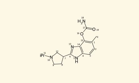 Cc1ccc2[nH]c(C3CCN(C(C)C)C3)nc2c1OC(N)=O